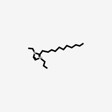 CCCCCCCCCCCc1n(CC)cc[n+]1CCC